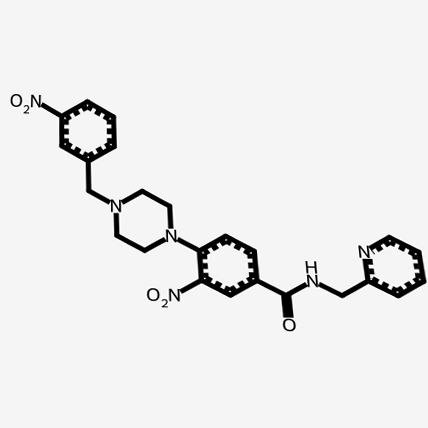 O=C(NCc1ccccn1)c1ccc(N2CCN(Cc3cccc([N+](=O)[O-])c3)CC2)c([N+](=O)[O-])c1